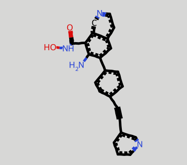 Nc1c(-c2ccc(C#Cc3cccnc3)cc2)cc2ccncc2c1C(=O)NO